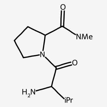 CNC(=O)C1CCCN1C(=O)C(N)C(C)C